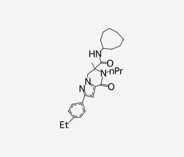 CCCN1C(=O)c2cc(-c3ccc(CC)cc3)nn2CC1(C)C(=O)NC1CCCCCCC1